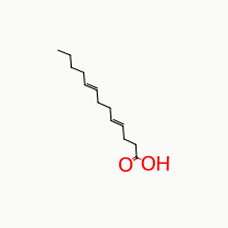 CCCCC=CCCC=CCCC(=O)O